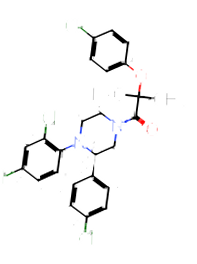 CC(C)(Oc1ccc(Cl)cc1)C(=O)N1CCN(c2ccc(Cl)cc2Cl)[C@H](c2ccc(Cl)cc2)C1